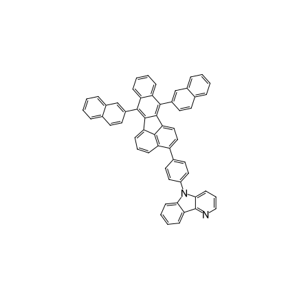 c1ccc2cc(-c3c4c(c(-c5ccc6ccccc6c5)c5ccccc35)-c3ccc(-c5ccc(-n6c7ccccc7c7ncccc76)cc5)c5cccc-4c35)ccc2c1